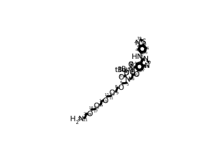 CC(C)(C)OC(=O)N(CCOCCOCCOCCOCCOCCN)CCOc1cc2ncnc(Nc3ccc4scnc4c3)c2cc1S(=O)(=O)C(C)(C)C